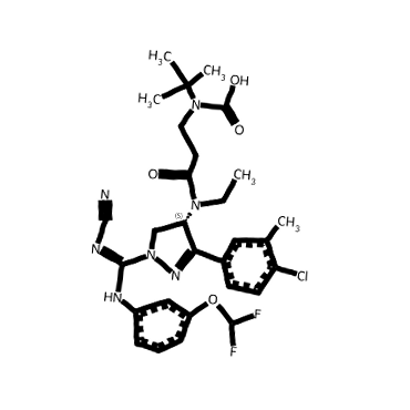 CCN(C(=O)CCN(C(=O)O)C(C)(C)C)[C@H]1CN(C(=NC#N)Nc2cccc(OC(F)F)c2)N=C1c1ccc(Cl)c(C)c1